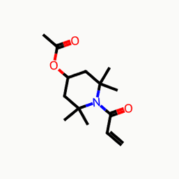 C=CC(=O)N1C(C)(C)CC(OC(C)=O)CC1(C)C